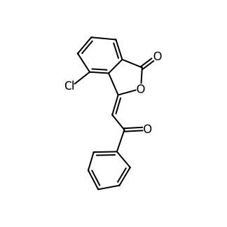 O=C(C=C1OC(=O)c2cccc(Cl)c21)c1ccccc1